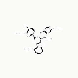 COc1ccc(CN(C(=O)c2ccc(Br)c(OC)n2)C(CO)c2cc3c(C)cccc3o2)cc1